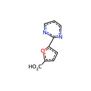 O=C(O)c1ccc(-c2ncccn2)o1